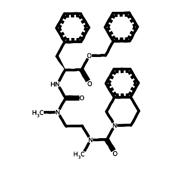 CN(CCN(C)C(=O)N1CCc2ccccc2C1)C(=O)N[C@@H](Cc1ccccc1)C(=O)OCc1ccccc1